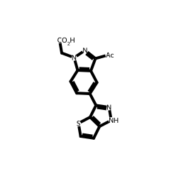 CC(=O)c1nn(CC(=O)O)c2ccc(-c3n[nH]c4ccsc34)cc12